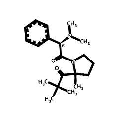 CN(C)[C@@H](C(=O)N1CCCC1(C)C(=O)C(C)(C)C)c1ccccc1